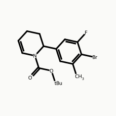 Cc1cc(C2CCC=CN2C(=O)OC(C)(C)C)cc(F)c1Br